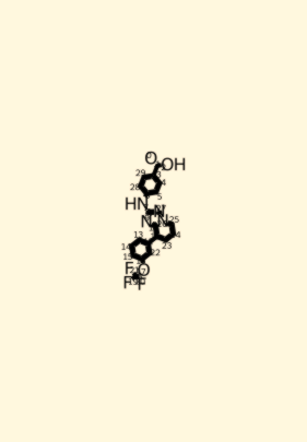 O=C(O)c1ccc(Nc2nc3c(-c4cccc(OC(F)(F)F)c4)cccn3n2)cc1